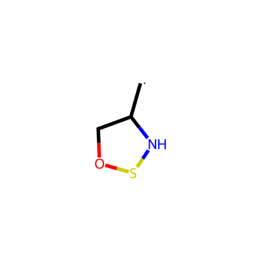 [CH2]C1COSN1